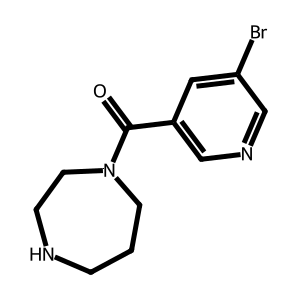 O=C(c1cncc(Br)c1)N1CCCNCC1